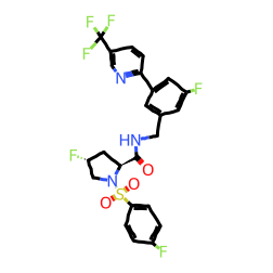 O=C(NCc1cc(F)cc(-c2ccc(C(F)(F)F)cn2)c1)[C@@H]1C[C@@H](F)CN1S(=O)(=O)c1ccc(F)cc1